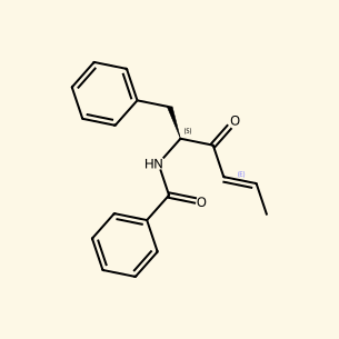 C/C=C/C(=O)[C@H](Cc1ccccc1)NC(=O)c1ccccc1